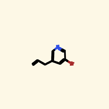 C=CCc1cncc(Br)c1